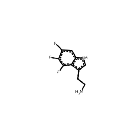 NCCc1c[nH]c2cc(F)c(F)c(F)c12